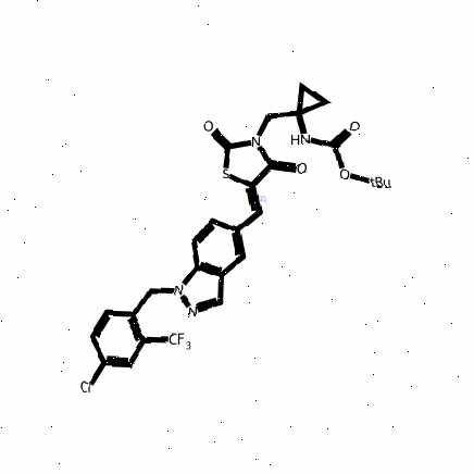 CC(C)(C)OC(=O)NC1(CN2C(=O)S/C(=C\c3ccc4c(cnn4Cc4ccc(Cl)cc4C(F)(F)F)c3)C2=O)CC1